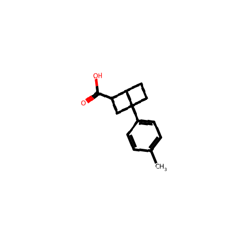 Cc1ccc(C23CCC2C(C(=O)O)C3)cc1